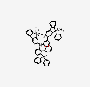 CC1(C)c2ccccc2-c2ccc(N(c3cccc(-c4ccc5c(c4)C(C)(c4ccccc4)c4ccccc4-5)c3)c3cccc4c3C3C=CC=CC3CC4(c3ccccc3)c3ccccc3)cc21